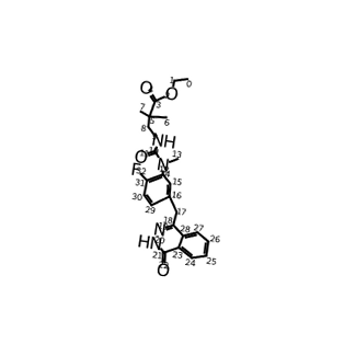 CCOC(=O)C(C)(C)CNC(=O)N(C)c1cc(Cc2n[nH]c(=O)c3ccccc23)ccc1F